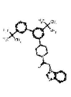 CC(C)(C)c1cccc(-c2cc(C3CCN(C(=O)Cn4cnc5ccccc54)CC3)cc(C(C)(C)C)c2)c1